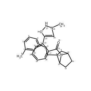 Cc1cccc(OCC2CC3CCC2N3C(=O)c2ccccc2C2=CN(C)NO2)n1